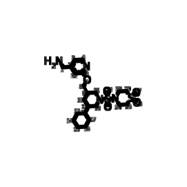 NCc1ccnc(OC[C@@H]2CC(C3CCCCC3)CN(S(=O)(=O)N3CCS(=O)(=O)CC3)C2)c1